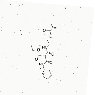 C=C(C)C(=O)OCCNC(=O)C(C(=O)Nc1ccccc1)C(=O)OCC